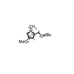 CO[C@@H]1C[C@H](COC(C)(C)C)N(C)C1